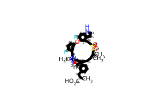 [2H]C([2H])([2H])C1(c2cccc(CC(C)C(=O)O)c2)CCCC(C)(C)CS(=O)(=O)CCc2c(c(F)cc3[nH]ccc23)Oc2ccc(F)c(c2)-c2nc1nn2C